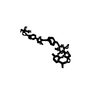 COC(/N=C1\SCC(=O)N1c1cc(C)ccc1C(C)C)=N/C(Cc1ccc(-c2ncn(-c3ccc(OC(F)(F)F)cc3)n2)cc1)N(C)C(C)=O